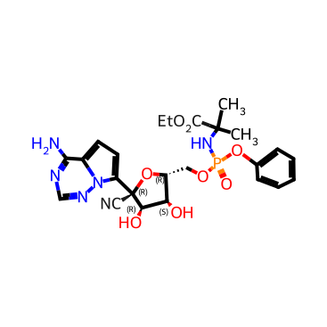 CCOC(=O)C(C)(C)NP(=O)(OC[C@H]1O[C@@](C#N)(c2ccc3c(N)ncnn23)[C@H](O)[C@@H]1O)Oc1ccccc1